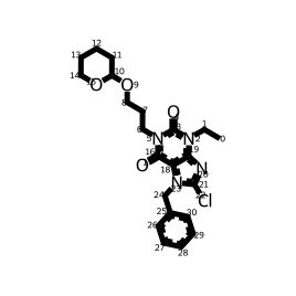 CCn1c(=O)n(CCCOC2CCCCO2)c(=O)c2c1nc(Cl)n2Cc1ccccc1